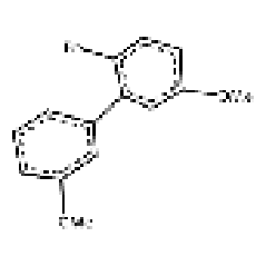 COc1cccc(-c2cc(OC)ccc2Br)c1